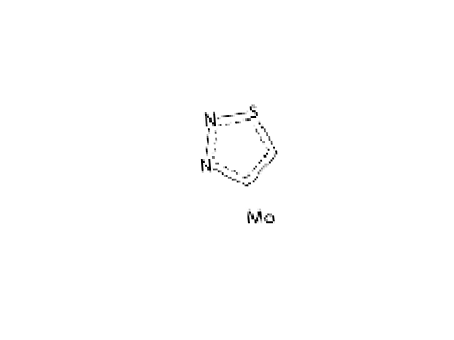 [Mo].c1csnn1